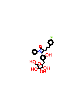 O=C1[C@H](CCCc2ccc(F)cc2)[C@@H](c2ccc(C[C@@H]3OC(CO)[C@@H](O)C(O)[C@@H]3O)cc2O)N1c1ccccc1